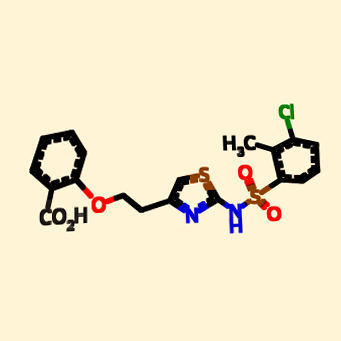 Cc1c(Cl)cccc1S(=O)(=O)Nc1nc(CCOc2ccccc2C(=O)O)cs1